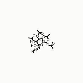 CC(=O)N[C@@H]1[C@@H](OC(C)=O)[C@H](OC(C)=O)[C@@H](COC(C)=O)O[C@@]1(O)N=[N+]=[N-]